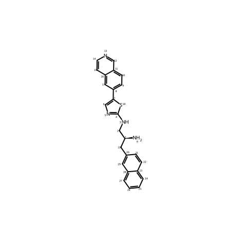 N[C@H](CNc1ncc(-c2ccc3cnccc3c2)s1)Cc1ccc2ccccc2c1